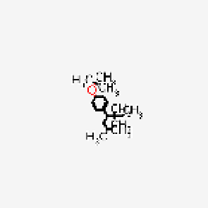 CCC(C)(C)C(CC(C)C)c1ccc(OC(C)(C)C)cc1